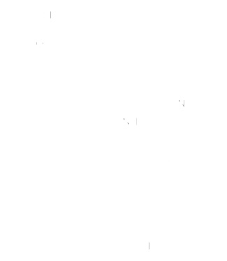 COc1ccc(NCc2cc(F)ccc2C#N)cc1